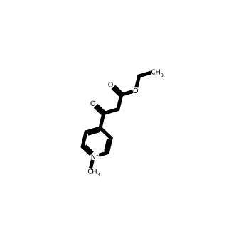 CCOC(=O)CC(=O)c1cc[n+](C)cc1